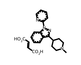 CN1CCC(c2nn(-c3ccccn3)c3ccccc23)CC1.O=C(O)C=CC(=O)O